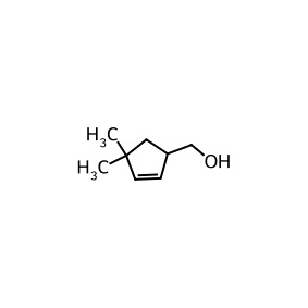 CC1(C)C=CC(CO)C1